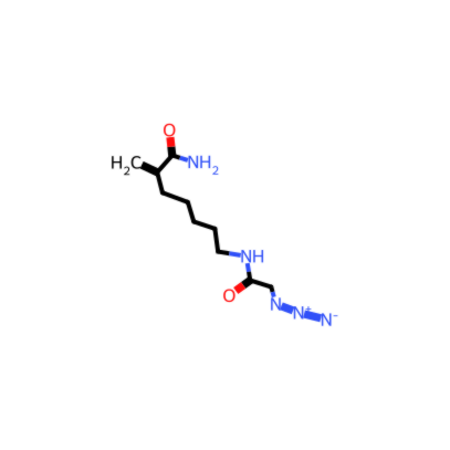 C=C(CCCCCNC(=O)CN=[N+]=[N-])C(N)=O